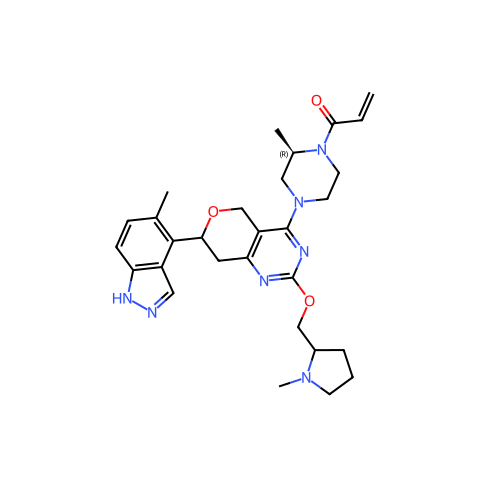 C=CC(=O)N1CCN(c2nc(OCC3CCCN3C)nc3c2COC(c2c(C)ccc4[nH]ncc24)C3)C[C@H]1C